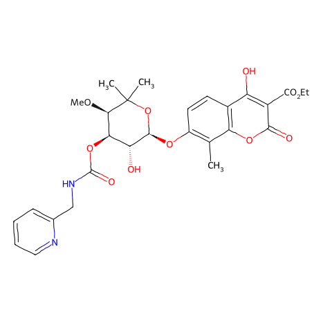 CCOC(=O)c1c(O)c2ccc(O[C@@H]3OC(C)(C)[C@H](OC)[C@H](OC(=O)NCc4ccccn4)[C@H]3O)c(C)c2oc1=O